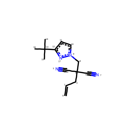 C=CCC(C#N)(C#N)Cn1ccc(C(C)(C)C)n1